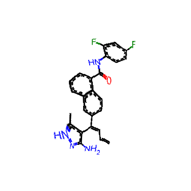 C=C/C=C(/c1ccc2c(C(=O)Nc3ccc(F)cc3F)cccc2c1)c1c(N)n[nH]c1C